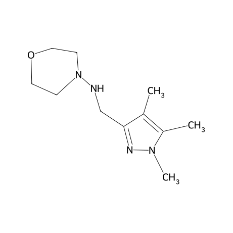 Cc1c(CNN2CCOCC2)nn(C)c1C